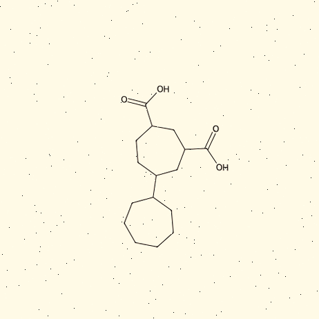 O=C(O)C1CCC(C2CCCCCC2)CC(C(=O)O)C1